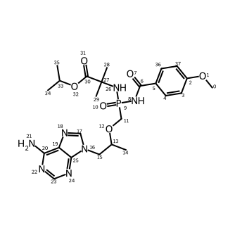 COc1ccc(C(=O)NP(=O)(COC(C)Cn2cnc3c(N)ncnc32)NC(C)(C)C(=O)OC(C)C)cc1